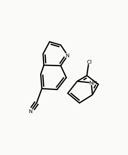 Clc1cc2ccc1[nH]2.N#Cc1ccc2ncccc2c1